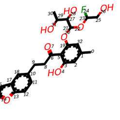 Cc1cc(O)c(C(=O)CCc2ccc3occc3c2)c(OC(OC(F)CO)C(O)C(C)O)c1